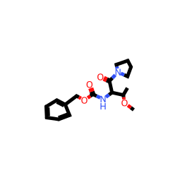 COC(C)C(NC(=O)OCc1ccccc1)C(=O)N1CCCC1